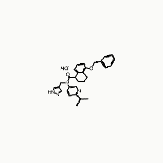 CC(C)c1ccc(N(Cc2cn[nH]c2)C(=O)C2CCCc3c(OCc4ccccc4)cccc32)cn1.Cl